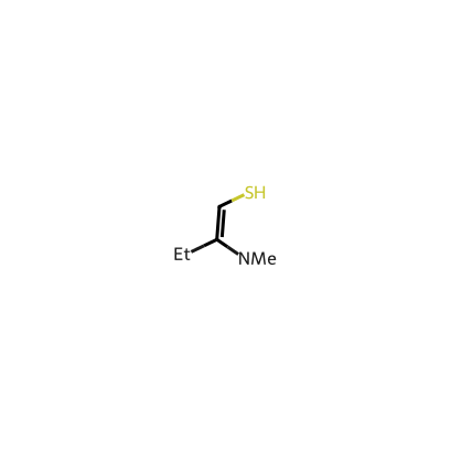 CC/C(=C/S)NC